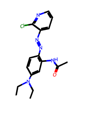 CCN(CC)c1ccc(/N=N/c2cccnc2Cl)c(NC(C)=O)c1